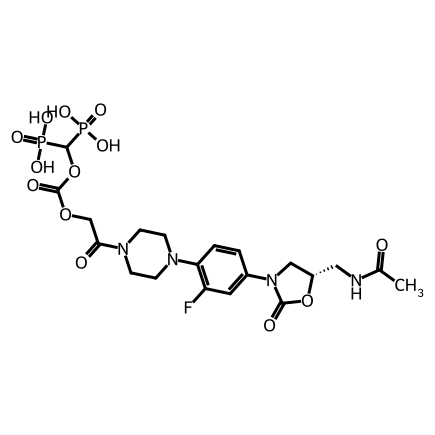 CC(=O)NC[C@H]1CN(c2ccc(N3CCN(C(=O)COC(=O)OC(P(=O)(O)O)P(=O)(O)O)CC3)c(F)c2)C(=O)O1